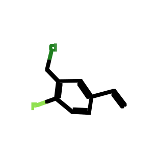 C=Cc1ccc(F)c(CCl)c1